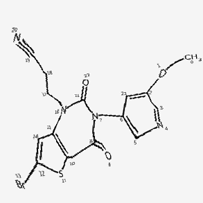 COc1cncc(-n2c(=O)c3sc(Br)cc3n(CCC#N)c2=O)c1